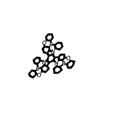 c1ccc2c(c1)Oc1ccc3c4c(c5c6ccc7c8c6n(c5c5c6ccc9c%10c6n(c45)-c4ccccc4B%10c4ccccc4O9)-c4ccccc4B8c4ccccc4O7)n4c3c1B2c1ccccc1-4